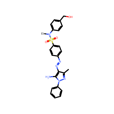 CCN(c1ccc(CO)cc1)S(=O)(=O)c1ccc(/N=N/c2c(C)nn(-c3ccccc3)c2N)cc1